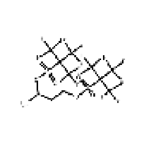 CC(CCOS(=O)(=O)C(C(F)(F)F)(C(F)(F)F)C(F)(F)F)OS(=O)(=O)C(C(F)(F)F)(C(F)(F)F)C(F)(F)F